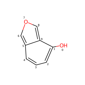 Oc1cccc2co[c]c12